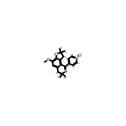 COc1cc2c(c3c1OC(C)(C)C3)C(c1cc[n+]([O-])cc1)=NC(C)(C)C2